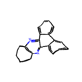 c1ccc2c(c1)c1ccccc1c1nc3c(nc21)CCCC3